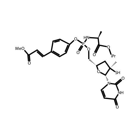 COC(=O)/C=C/c1ccc(OP(=O)(N[C@@H](C)C(=O)OC(C)C)OC[C@@H]2C[C@@](C)(S)[C@H](n3ccc(=O)[nH]c3=O)O2)cc1